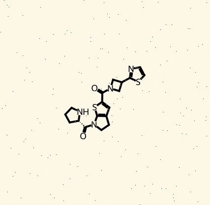 O=C(c1cc2c(s1)N(C(=O)[C@@H]1CCCN1)CC2)N1CC(c2nccs2)C1